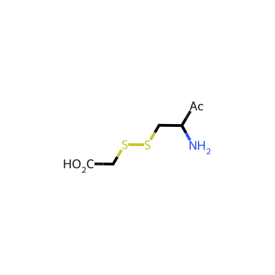 CC(=O)C(N)CSSCC(=O)O